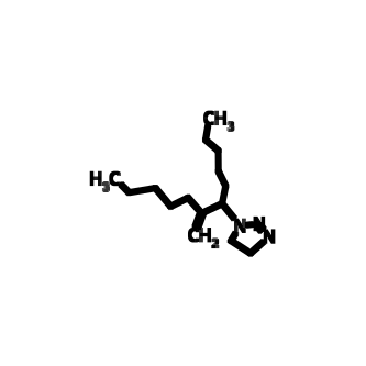 C=C(CCCCC)C(CCCCC)N1CCN=N1